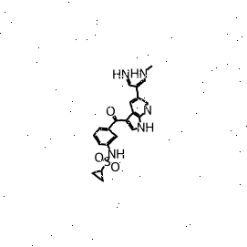 CN/C=C(\C=N)c1cnc2[nH]cc(C(=O)c3cccc(NS(=O)(=O)C4CC4)c3)c2c1